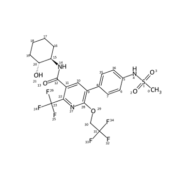 CS(=O)(=O)Nc1ccc(-c2cc(C(=O)N[C@@H]3CCCC[C@H]3O)c(C(F)(F)F)nc2OCC(F)(F)F)cc1